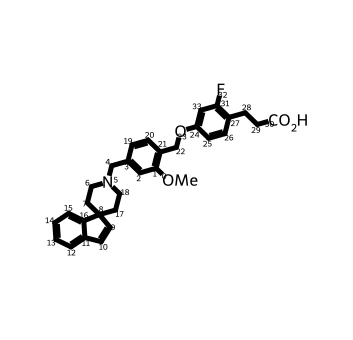 COc1cc(CN2CCC3(C=Cc4ccccc43)CC2)ccc1COc1ccc(CCC(=O)O)c(F)c1